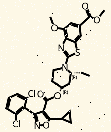 CC[C@@H]1C[C@H](OC(=O)c2c(-c3c(Cl)cccc3Cl)noc2C2CC2)CCN1c1nc2c(OC)cc(C(=O)OC)cc2s1